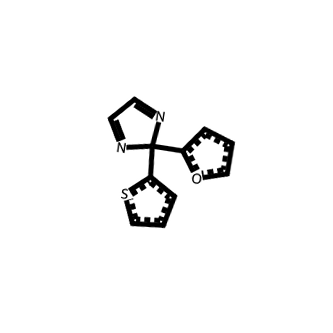 C1=NC(c2ccco2)(c2cccs2)N=C1